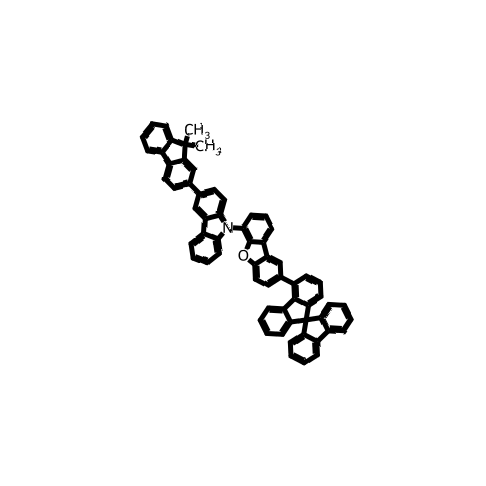 CC1(C)c2ccccc2-c2ccc(-c3ccc4c(c3)c3ccccc3n4-c3cccc4c3oc3ccc(-c5cccc6c5-c5ccccc5C65c6ccccc6-c6ccccc65)cc34)cc21